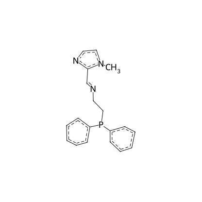 Cn1ccnc1/C=N/CCP(c1ccccc1)c1ccccc1